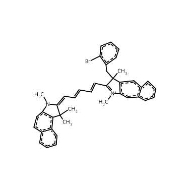 CN1/C(=C/C=C/C=C/C2=[N+](C)c3cc4ccccc4cc3C2(C)Cc2ccccc2Br)C(C)(C)c2c1ccc1ccccc21